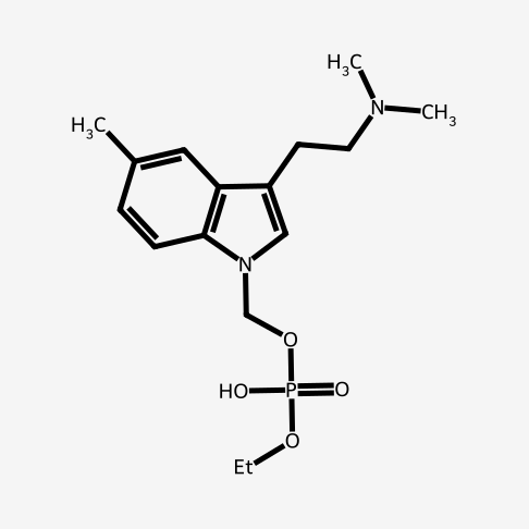 CCOP(=O)(O)OCn1cc(CCN(C)C)c2cc(C)ccc21